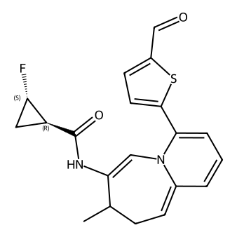 CC1CC=C2C=CC=C(c3ccc(C=O)s3)N2C=C1NC(=O)[C@H]1C[C@@H]1F